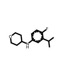 CC(C)c1cc(NC2CCOCC2)ccc1F